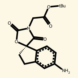 CC(C)(C)OC(=O)CN1C(=O)O[C@@]2(CCc3cc(N)ccc32)C1=O